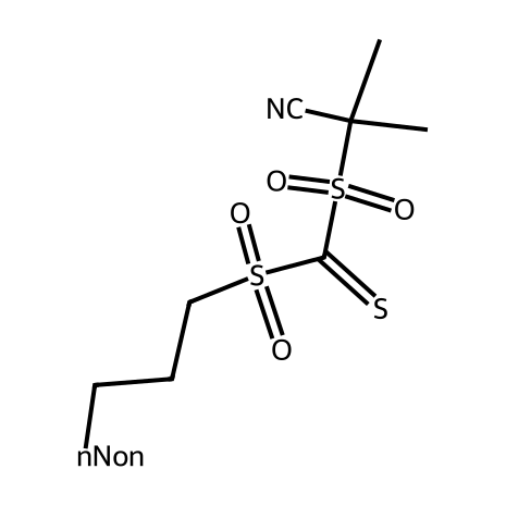 CCCCCCCCCCCCS(=O)(=O)C(=S)S(=O)(=O)C(C)(C)C#N